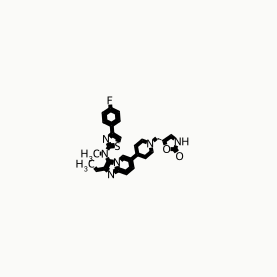 CCc1nc2ccc(C3CCN(C[C@@H]4CNC(=O)O4)CC3)cn2c1N(C)c1nc(-c2ccc(F)cc2)cs1